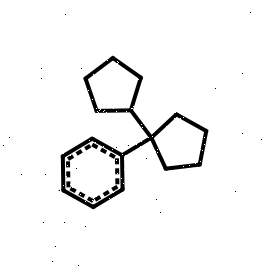 [c]1ccc(C2(C3CCCC3)CCCC2)cc1